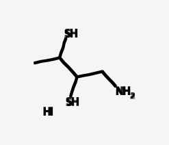 CC(S)C(S)CN.I